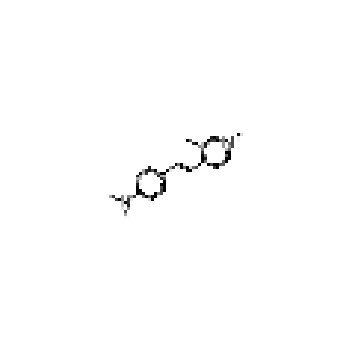 Cc1c[n+](C)ccc1/C=C/c1ccc(N(C)C)cc1